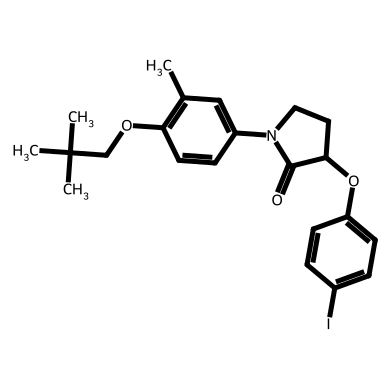 Cc1cc(N2CCC(Oc3ccc(I)cc3)C2=O)ccc1OCC(C)(C)C